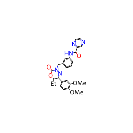 CCC1OC(=O)N(Cc2cccc(NC(=O)c3cnccn3)c2)N=C1c1ccc(OC)c(OC)c1